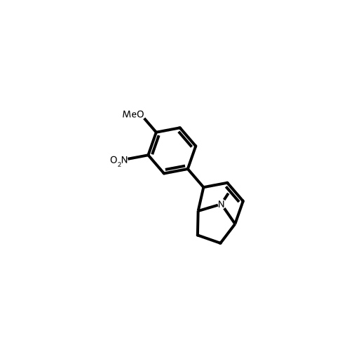 COc1ccc(C2C=CC3CCC2N3C)cc1[N+](=O)[O-]